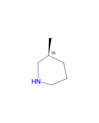 [CH2][C@H]1CCCNC1